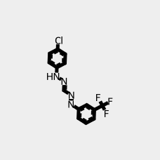 FC(F)(F)c1cccc(N=NC=NNc2ccc(Cl)cc2)c1